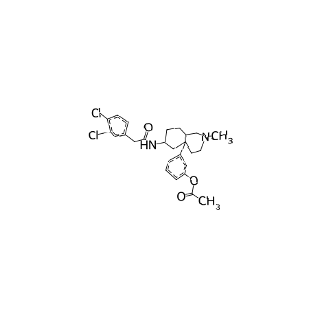 CC(=O)Oc1cccc(C23CCN(C)CC2CCC(NC(=O)Cc2ccc(Cl)c(Cl)c2)C3)c1